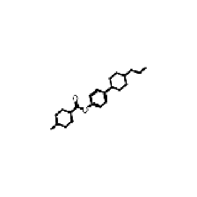 CCCC1CCC(c2ccc(OC(=O)C3CCC(C)CC3)cc2)CC1